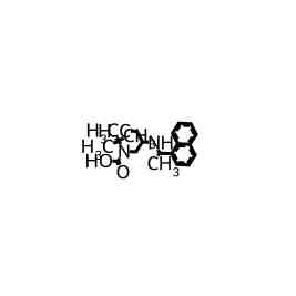 CCC(CN(C(=O)O)C(C)(C)C)NC(C)c1cccc2ccccc12